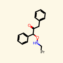 CC(C)CNOC(C(=O)Cc1ccccc1)c1ccccc1